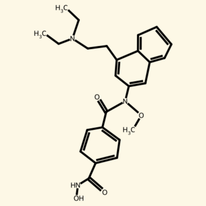 CCN(CC)CCc1cc(N(OC)C(=O)c2ccc(C(=O)NO)cc2)cc2ccccc12